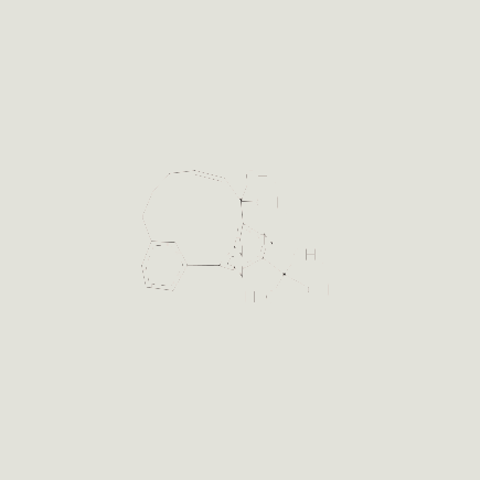 CC(C)(C)c1nc2nc(n1)C(C)(C)/C=C\CCCc1cccc-2c1